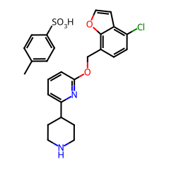 Cc1ccc(S(=O)(=O)O)cc1.Clc1ccc(COc2cccc(C3CCNCC3)n2)c2occc12